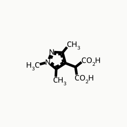 Cc1nn(C)c(C)c1C(C(=O)O)C(=O)O